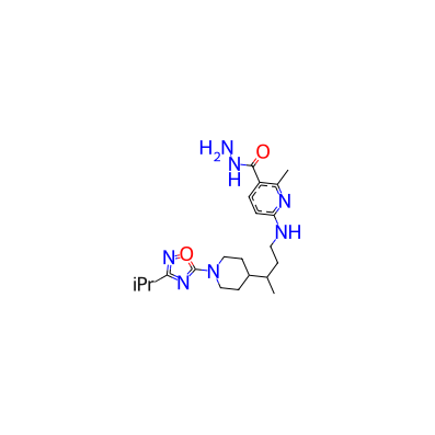 Cc1nc(NCCC(C)C2CCN(c3nc(C(C)C)no3)CC2)ccc1C(=O)NN